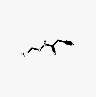 CCONC(=O)CC#N